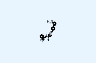 Nc1cccc(-c2ccc(CCN3CCC(NC(=O)Cc4ccccc4C(F)(F)F)C3)cc2)n1